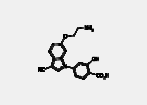 N#Cc1cn(-c2ccc(C(=O)O)c(O)c2)c2cc(OCCN)ccc12